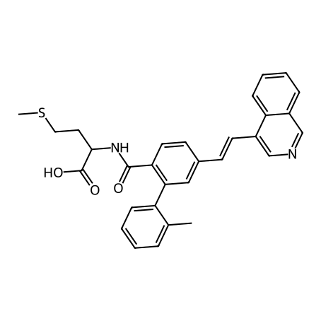 CSCCC(NC(=O)c1ccc(C=Cc2cncc3ccccc23)cc1-c1ccccc1C)C(=O)O